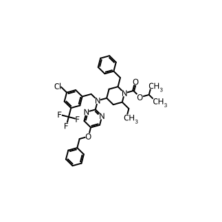 CCC1CC(N(Cc2cc(Cl)cc(C(F)(F)F)c2)c2ncc(OCc3ccccc3)cn2)CC(Cc2ccccc2)N1C(=O)OC(C)C